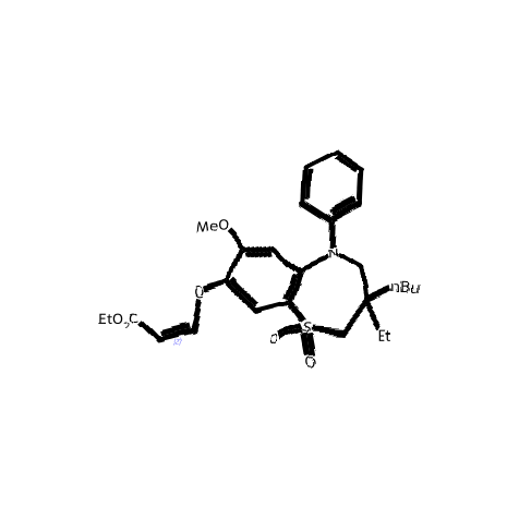 CCCCC1(CC)CN(c2ccccc2)c2cc(OC)c(O/C=C\C(=O)OCC)cc2S(=O)(=O)C1